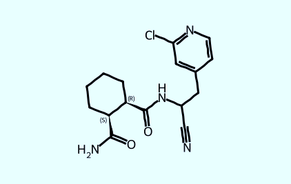 N#CC(Cc1ccnc(Cl)c1)NC(=O)[C@@H]1CCCC[C@@H]1C(N)=O